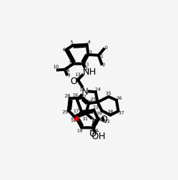 CC(C)c1cccc(C(C)C)c1NC(=O)N(Cc1ccc(O)cc1)CC1(c2ccccc2[N+](=O)[O-])CCCCC1